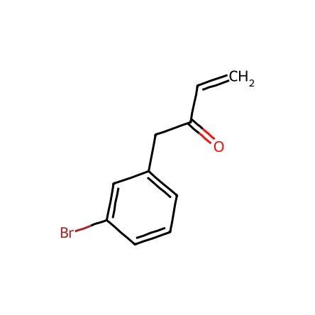 C=CC(=O)Cc1cccc(Br)c1